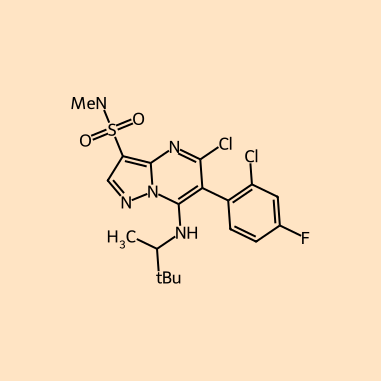 CNS(=O)(=O)c1cnn2c(NC(C)C(C)(C)C)c(-c3ccc(F)cc3Cl)c(Cl)nc12